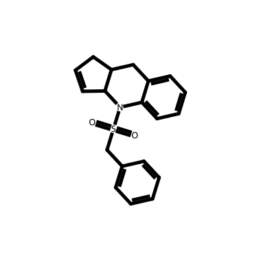 O=S(=O)(Cc1ccccc1)N1c2ccccc2CC2CC=CC21